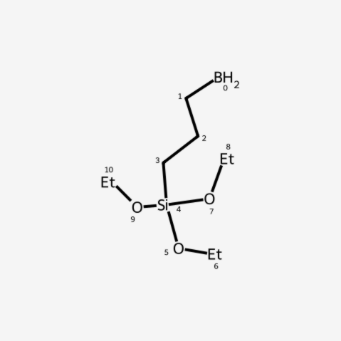 BCCC[Si](OCC)(OCC)OCC